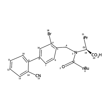 CCCCC(=O)N(Cc1ccc(-c2ccccc2C#N)cc1Br)[C@H](C(=O)O)C(C)C